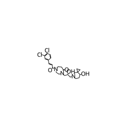 O=C(/C=C/c1ccc(Cl)c(Cl)c1)N1CCC(=O)N(CC(O)CN2CCC(O)C3(CC3)C2)CC1